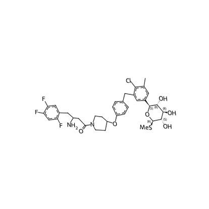 CS[C@H]1O[C@@H](c2cc(C)c(Cl)c(Cc3ccc(OC4CCN(C(=O)CC(N)Cc5cc(F)c(F)cc5F)CC4)cc3)c2)[C@H](O)[C@@H](O)[C@@H]1O